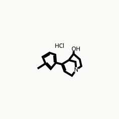 Cc1cccc(C2=CCN3CCC(O)C2C3)c1.Cl